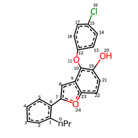 CCCc1ccccc1-c1cc2c(Oc3ccc(Cl)cc3)c(O)ccc2o1